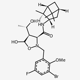 COc1c(Br)cc(F)cc1CN1OC(O)[C@@H]([C@H](C)O)[C@H]1C(=O)N[C@H]1C[C@H]2C[C@@H]([C@@H]1C)C2(C)C